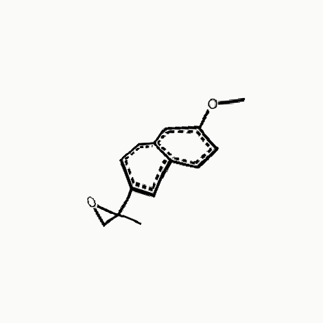 COc1ccc2cc(C3(C)CO3)ccc2c1